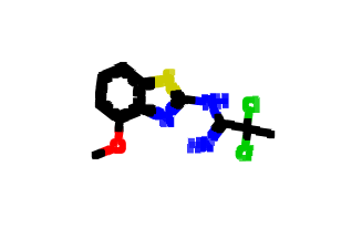 COc1cccc2sc(NC(=N)C(C)(Cl)Cl)nc12